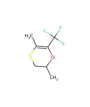 CC1=C(C(F)(F)F)OC(C)CS1